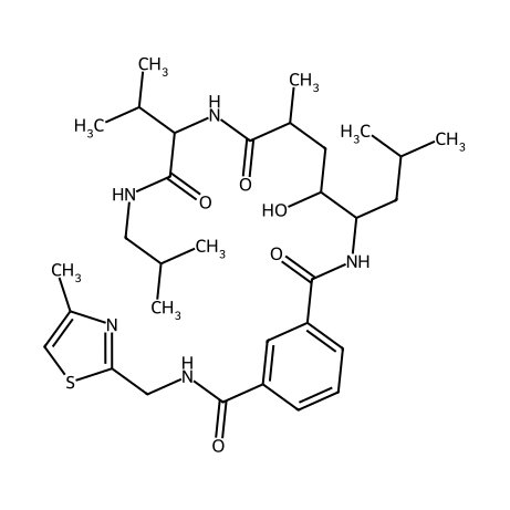 Cc1csc(CNC(=O)c2cccc(C(=O)NC(CC(C)C)C(O)CC(C)C(=O)NC(C(=O)NCC(C)C)C(C)C)c2)n1